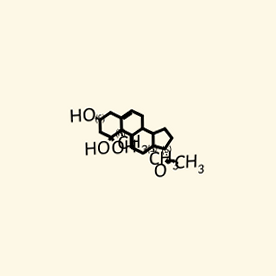 CC(=O)[C@H]1CCC2C3CC=C4C[C@H](O)CC(O)(O)[C@]4(C)C3CC[C@@]21C